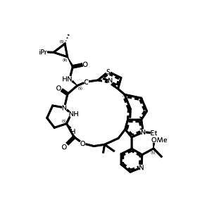 CCn1c(-c2cccnc2[C@H](C)OC)c2c3cc(ccc31)-c1csc(n1)C[C@H](NC(=O)[C@H]1C(C(C)C)[C@@H]1C)C(=O)N1CCC[C@H](N1)C(=O)OCC(C)(C)C2